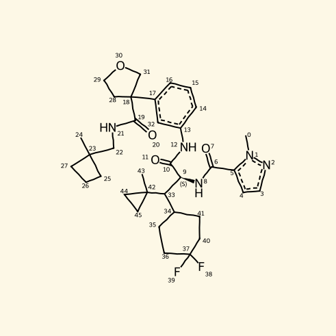 Cn1nccc1C(=O)N[C@H](C(=O)Nc1cccc(C2(C(=O)NCC3(C)CCC3)CCOC2)c1)C(C1CCC(F)(F)CC1)C1(C)CC1